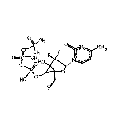 Nc1ccn([C@@H]2O[C@]3(CF)C(OP(=O)(O)OP(=O)(O)OP(=O)(O)O)C3(O)C2(F)F)c(=O)n1